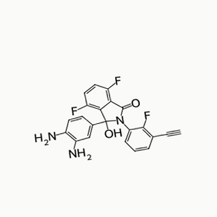 C#Cc1cccc(N2C(=O)c3c(F)ccc(F)c3C2(O)c2ccc(N)c(N)c2)c1F